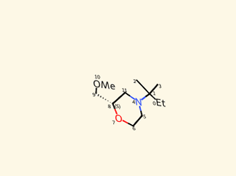 CCC(C)(C)N1CCO[C@H](COC)C1